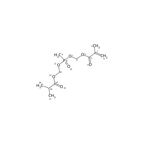 C=C(C)C(=O)OCOP(C)(=O)OCOC(=O)C(C)C